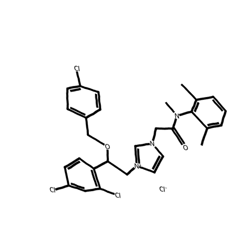 Cc1cccc(C)c1N(C)C(=O)Cn1cc[n+](CC(OCc2ccc(Cl)cc2)c2ccc(Cl)cc2Cl)c1.[Cl-]